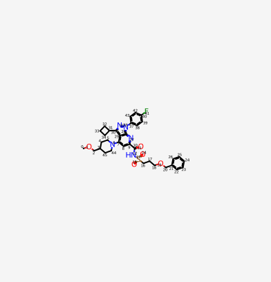 COCC1CCN(c2cc(C(=O)NS(=O)(=O)CCCOCc3ccccc3)nc3c2c(C2CCC2)nn3-c2ccc(F)cc2)CC1